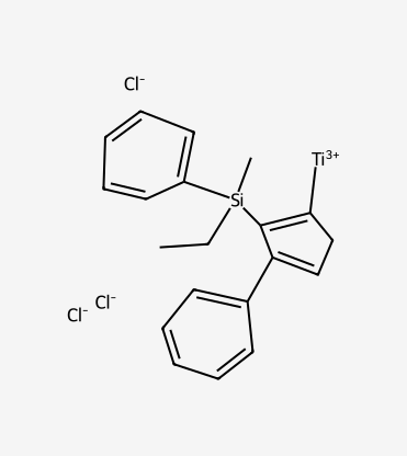 CC[Si](C)(C1=[C]([Ti+3])CC=C1c1ccccc1)c1ccccc1.[Cl-].[Cl-].[Cl-]